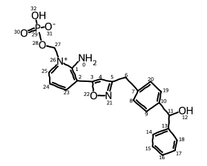 Nc1c(-c2cc(Cc3ccc(C(O)c4ccccc4)cc3)no2)ccc[n+]1COP(=O)([O-])O